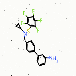 Nc1cccc(-c2ccc(CN(Sc3c(F)c(F)c(F)c(F)c3F)C3CC3)cc2)c1